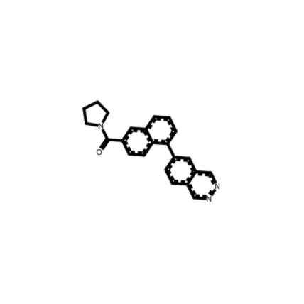 O=C(c1ccc2c(-c3ccc4cnncc4c3)cccc2c1)N1CCCC1